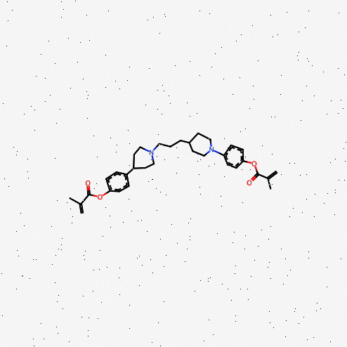 C=C(C)C(=O)Oc1ccc(C2CCN(CCCC3CCN(c4ccc(OC(=O)C(=C)C)cc4)CC3)CC2)cc1